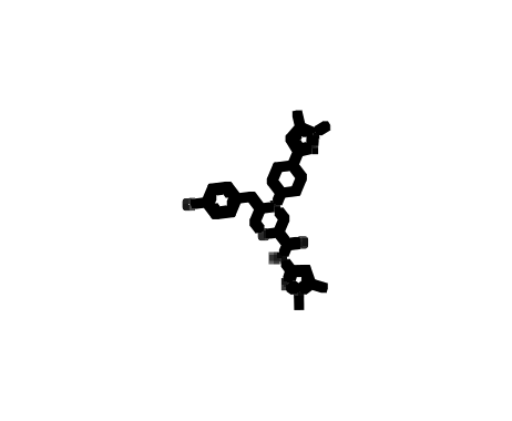 Cc1cc(NC(=O)C2CN(C3CCC(c4cc(C)n(C)n4)CC3)C(Cc3ccc(Cl)cc3)CO2)nn1C